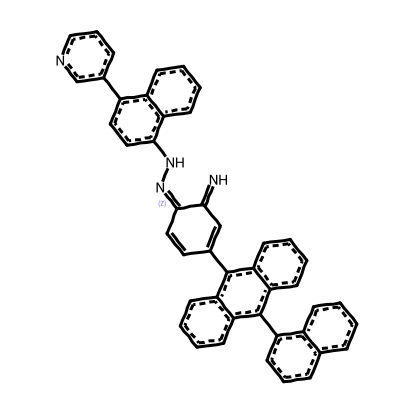 N=C1C=C(c2c3ccccc3c(-c3cccc4ccccc34)c3ccccc23)C=C/C1=N/Nc1ccc(-c2cccnc2)c2ccccc12